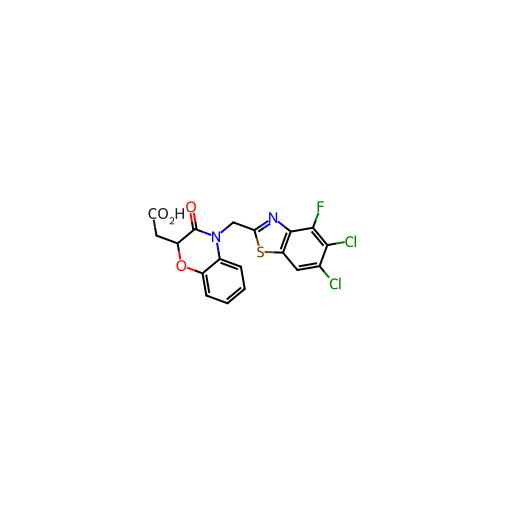 O=C(O)CC1Oc2ccccc2N(Cc2nc3c(F)c(Cl)c(Cl)cc3s2)C1=O